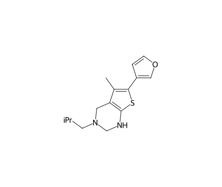 Cc1c(-c2ccoc2)sc2c1CN(CC(C)C)CN2